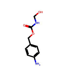 Nc1ccc(COC(=O)NCO)cc1